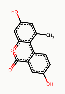 Cc1cc(O)cc2oc(=O)c3cc(O)ccc3c12